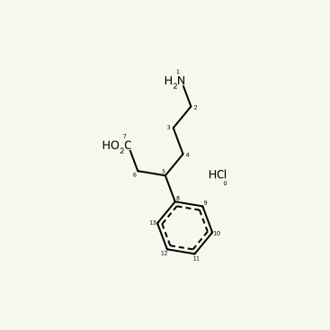 Cl.NCCCC(CC(=O)O)c1ccccc1